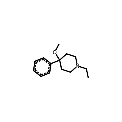 CCN1CCC(OC)(c2ccccc2)CC1